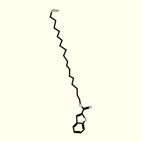 CCCCCCCCCCCCCCCCCCCCCCCCCCCCOC(=O)c1cc2ccccc2s1